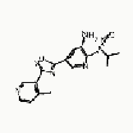 Cc1ccncc1-c1noc(-c2cnc(N(N=O)C(C)C)c(N)c2)n1